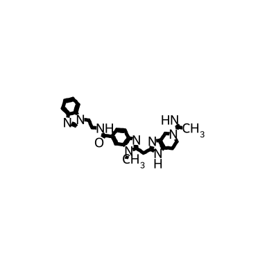 CC(=N)N1CCc2[nH]c(Cc3nc4ccc(C(=O)NCCn5cnc6ccccc65)cc4n3C)nc2C1